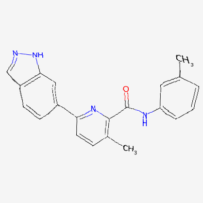 Cc1cccc(NC(=O)c2nc(-c3ccc4cn[nH]c4c3)ccc2C)c1